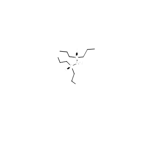 CCCP(=S)(CCC)NP(=S)(CCC)CCC